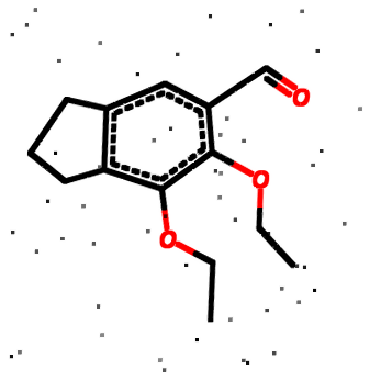 CCOc1c(C=O)cc2c(c1OCC)CCC2